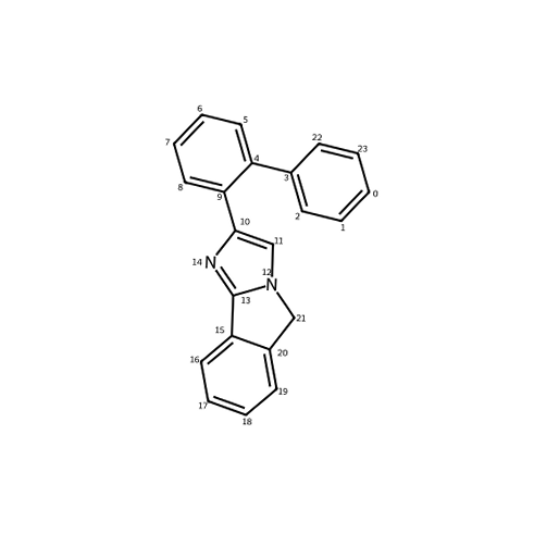 c1ccc(-c2ccccc2-c2cn3c(n2)-c2ccccc2C3)cc1